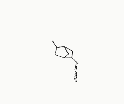 CC1CC2CC1CC2N=C=S